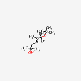 CCC(C)(O[Si](C)(C)C)[SiH](C)CC[Si](C)(C)O